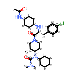 CC(=O)N[C@H]1CC[C@@H](N[C@H](Cc2ccc(Cl)cc2)C(=O)N2CC[C@@H](N(C(=O)N(C)C)C3CCCCC3)[C@H](C)C2)CC1